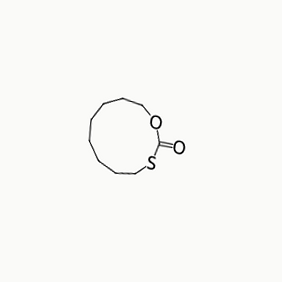 O=C1OCCCCCCCCS1